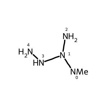 CNN(N)NN